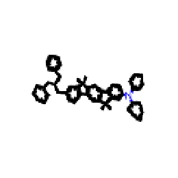 CC1(C)c2cc(CC(Cc3ccccc3)Cc3ccccc3)ccc2-c2cc3c(cc21)-c1ccc(N(c2ccccc2)c2ccccc2)cc1C3(C)C